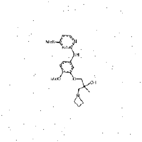 CNc1ccnc(Nc2ccc(OC)c(OCC(C)(O)CN3CCC3)c2)n1